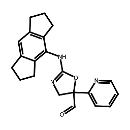 O=CC1(c2ccccn2)CN=C(Nc2c3c(cc4c2CCC4)CCC3)O1